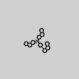 c1ccc2c(c1)ccc1cc(N(c3ccc(-c4cccc5ccc6ccccc6c45)cc3)c3ccc4c(ccc5ccccc54)c3)ccc12